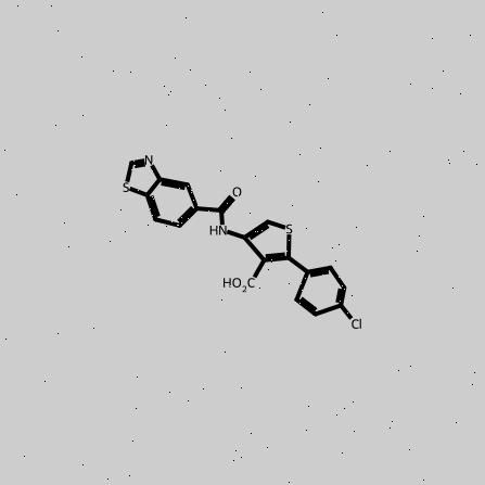 O=C(Nc1csc(-c2ccc(Cl)cc2)c1C(=O)O)c1ccc2scnc2c1